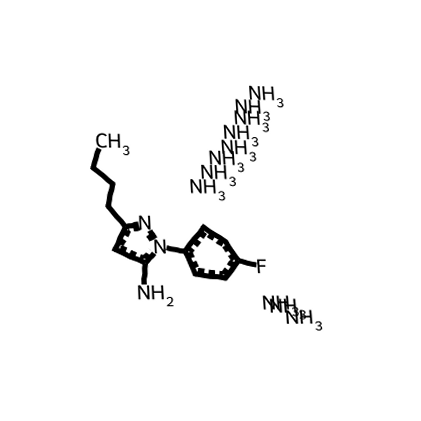 CCCCc1cc(N)n(-c2ccc(F)cc2)n1.N.N.N.N.N.N.N.N.N.N.N